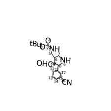 CC(C)(C)OC(=O)NCC1CNCC(c2cccc(C#N)c2)C1C=O